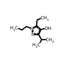 CCCn1nc(C(C)C)c(O)c1CC